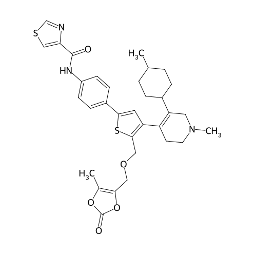 Cc1oc(=O)oc1COCc1sc(-c2ccc(NC(=O)c3cscn3)cc2)cc1C1=C(C2CCC(C)CC2)CN(C)CC1